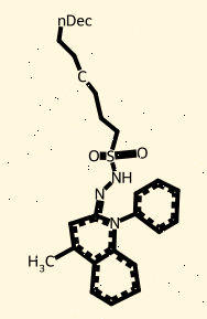 CCCCCCCCCCCCCCCCS(=O)(=O)NN=c1cc(C)c2ccccc2n1-c1ccccc1